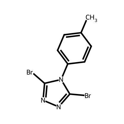 Cc1ccc(-n2c(Br)nnc2Br)cc1